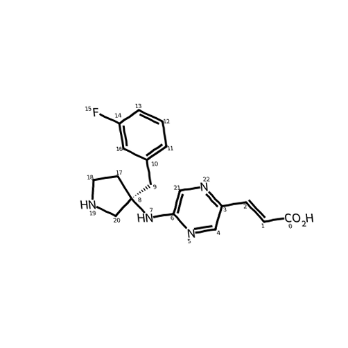 O=C(O)/C=C/c1cnc(N[C@]2(Cc3cccc(F)c3)CCNC2)cn1